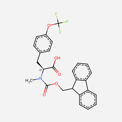 CN(C(=O)OCC1c2ccccc2-c2ccccc21)[C@@H](Cc1ccc(OC(F)(F)F)cc1)C(=O)O